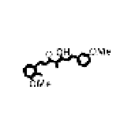 COc1cccc(/C=C/C(O)=C(\C)C(=O)/C=C/c2cccc(OC)c2C)c1